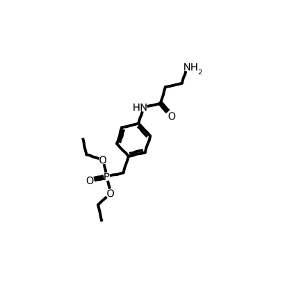 CCOP(=O)(Cc1ccc(NC(=O)CCN)cc1)OCC